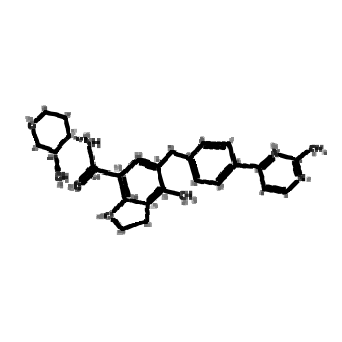 Cc1nccc(-c2ccc(Cc3cc(C(=O)N[C@H]4CCOC[C@@H]4O)c4c(c3C)CCO4)cc2)n1